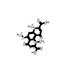 COc1cc2c(c(=O)cc(C(=O)O)n2C)c2c1c(=O)cc(C(=O)O)n2C